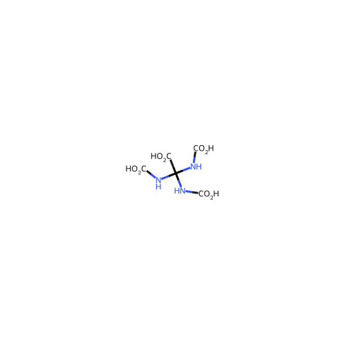 O=C(O)NC(NC(=O)O)(NC(=O)O)C(=O)O